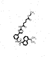 CCOC(=O)CCCC(=O)Nc1nc(-c2cccc(NS(=O)(=O)c3cccc4c(N(C)C)cccc34)c2)cs1